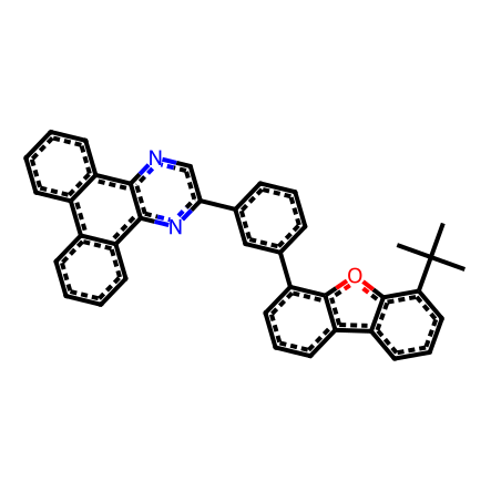 CC(C)(C)c1cccc2c1oc1c(-c3cccc(-c4cnc5c6ccccc6c6ccccc6c5n4)c3)cccc12